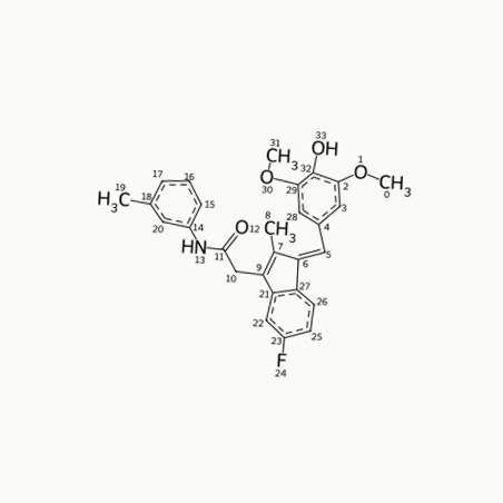 COc1cc(C=C2C(C)=C(CC(=O)Nc3cccc(C)c3)c3cc(F)ccc32)cc(OC)c1O